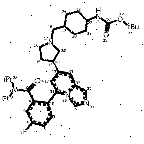 CCN(C(=O)c1cc(F)ccc1-c1cc([C@H]2CCN(CC3CCC(NC(=O)OC(C)(C)C)CC3)C2)cc2cncn12)C(C)C